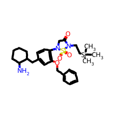 C[Si](C)(C)CCN1C(=O)CN(c2ccc(CC3CCCCC3N)cc2OCc2ccccc2)S1(=O)=O